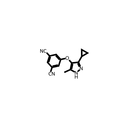 Cc1[nH]nc(C2CC2)c1Oc1cc(C#N)cc(C#N)c1